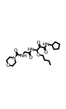 CCCCOC(NC(=O)CNC(=O)N1CCOCC1)C(=O)C(=O)NC1CCCC1